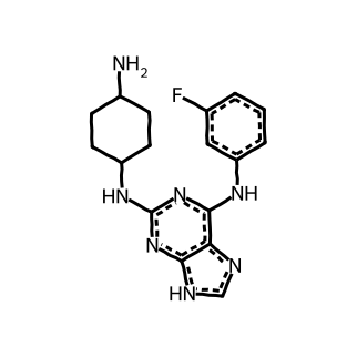 NC1CCC(Nc2nc(Nc3cccc(F)c3)c3nc[nH]c3n2)CC1